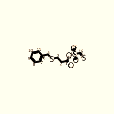 O=C(CCSCc1ccccc1)OS(=O)(=O)C=S